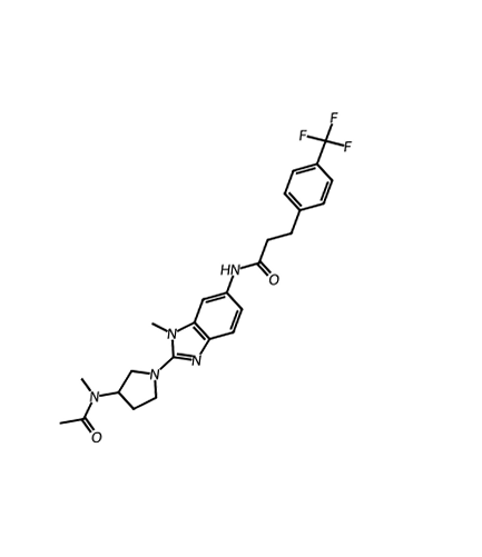 CC(=O)N(C)C1CCN(c2nc3ccc(NC(=O)CCc4ccc(C(F)(F)F)cc4)cc3n2C)C1